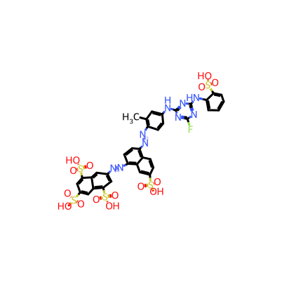 Cc1cc(Nc2nc(F)nc(Nc3ccccc3S(=O)(=O)O)n2)ccc1/N=N/c1ccc(/N=N/c2cc(S(=O)(=O)O)c3cc(S(=O)(=O)O)cc(S(=O)(=O)O)c3c2)c2cc(S(=O)(=O)O)ccc12